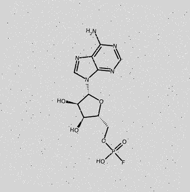 Nc1ncnc2c1ncn2[C@@H]1O[C@H](COP(=O)(O)F)[C@@H](O)[C@H]1O